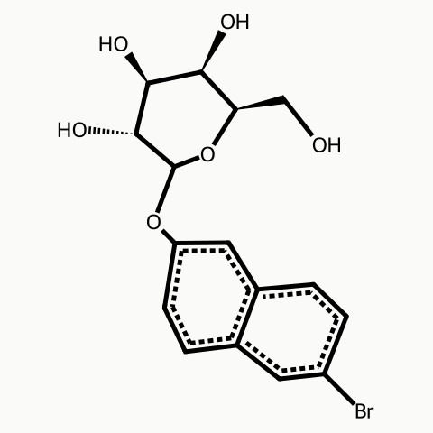 OC[C@H]1OC(Oc2ccc3cc(Br)ccc3c2)[C@H](O)[C@@H](O)[C@H]1O